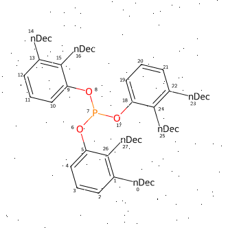 CCCCCCCCCCc1cccc(OP(Oc2cccc(CCCCCCCCCC)c2CCCCCCCCCC)Oc2cccc(CCCCCCCCCC)c2CCCCCCCCCC)c1CCCCCCCCCC